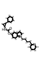 O=C(NC1CC1c1ccccc1)Oc1ccc2c(ccn2CCCCc2ccccn2)c1